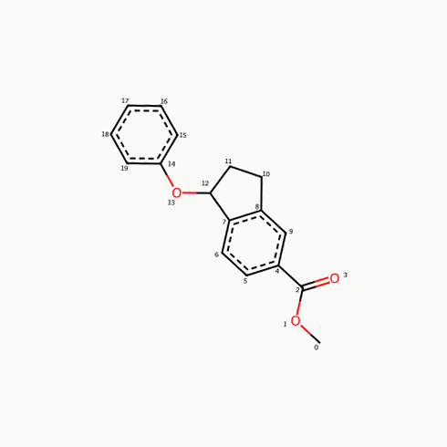 COC(=O)c1ccc2c(c1)CCC2Oc1ccccc1